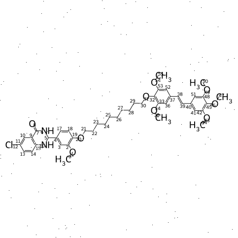 COc1cc(C2NC(=O)c3cc(Cl)ccc3N2)ccc1OCCCCCCCCCCOc1c(OC)cc(C=Cc2cc(OC)c(OC)c(OC)c2)cc1OC